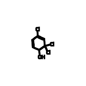 OC1C=CC(Cl)=CC1(Cl)Cl